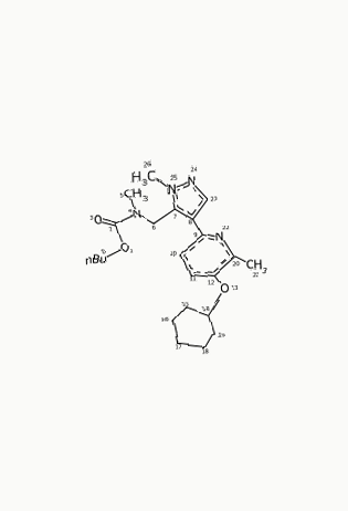 CCCCOC(=O)N(C)Cc1c(-c2ccc(OC3CCCCC3)c(C)n2)cnn1C